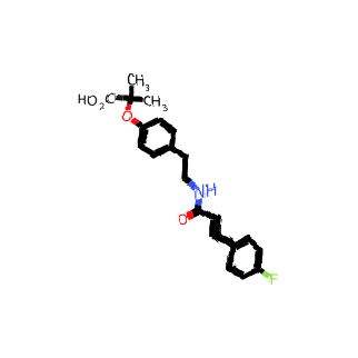 CC(C)(Oc1ccc(CCNC(=O)/C=C/c2ccc(F)cc2)cc1)C(=O)O